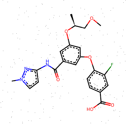 COC[C@H](C)Oc1cc(Oc2ccc(C(=O)O)cc2F)cc(C(=O)Nc2ccn(C)n2)c1